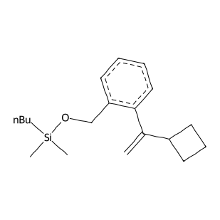 C=C(c1ccccc1CO[Si](C)(C)CCCC)C1CCC1